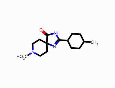 CC1CCC(C2=NC3(CCN(C(=O)O)CC3)C(=O)N2)CC1